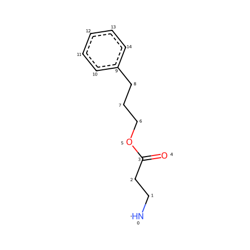 [NH]CCC(=O)OCCCc1ccccc1